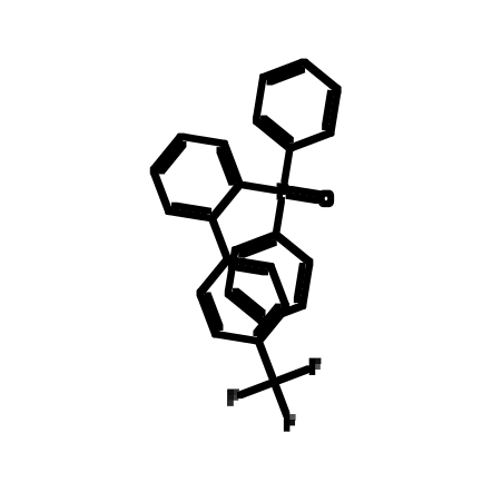 O=P(c1ccccc1)(c1ccccc1)c1ccccc1-c1ccc(C(F)(F)F)cc1